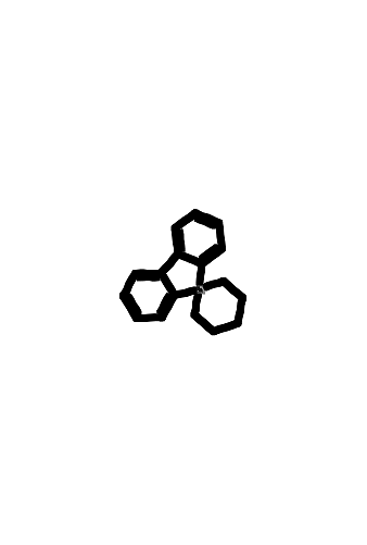 c1ccc2c(c1)-c1ccccc1[Si]21CCCCC1